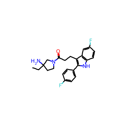 CCC1(N)CCN(C(=O)CCc2c(-c3ccc(F)cc3)[nH]c3ccc(F)cc23)C1